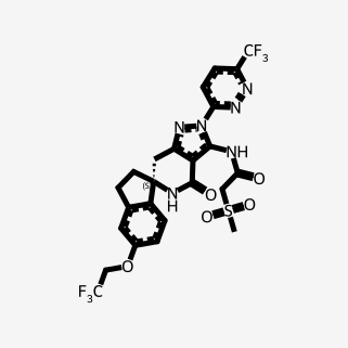 CS(=O)(=O)CC(=O)Nc1c2c(nn1-c1ccc(C(F)(F)F)nn1)C[C@]1(CCc3cc(OCC(F)(F)F)ccc31)NC2=O